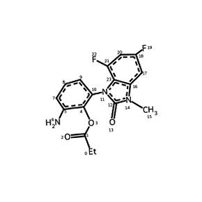 CCC(=O)Oc1c(N)cccc1-n1c(=O)n(C)c2cc(F)cc(F)c21